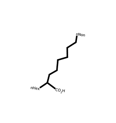 CCCCCCCCCCCCCCCC(CCCCCC)C(=O)O